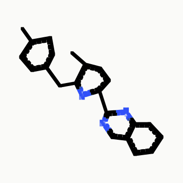 Cc1ccc(Cc2nc(-c3ncc4ccccc4n3)ccc2C)cc1